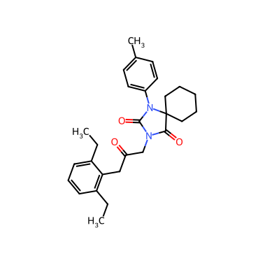 CCc1cccc(CC)c1CC(=O)CN1C(=O)N(c2ccc(C)cc2)C2(CCCCC2)C1=O